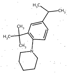 CC(C)c1ccc(N2CCCCC2)c(C(C)(C)C)c1